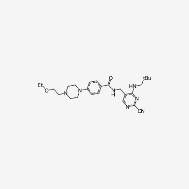 CCOCCN1CCN(c2ccc(C(=O)NCc3cnc(C#N)nc3NCC(C)(C)C)cc2)CC1